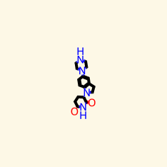 O=C1CCC(N2CCc3cc(N4CCNCC4)ccc32)C(=O)N1